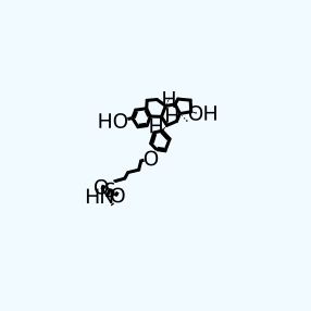 CNS(=O)(=O)CCCCCOc1ccc([C@H]2C[C@]3(C)[C@@H](O)CC[C@H]3[C@@H]3CCc4cc(O)ccc4[C@H]32)cc1